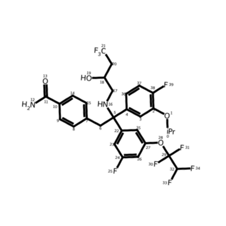 CC(C)Oc1cc(C(Cc2ccc(C(N)=O)cc2)(NCC(O)CC(F)(F)F)c2cc(F)cc(OC(F)(F)C(F)F)c2)ccc1F